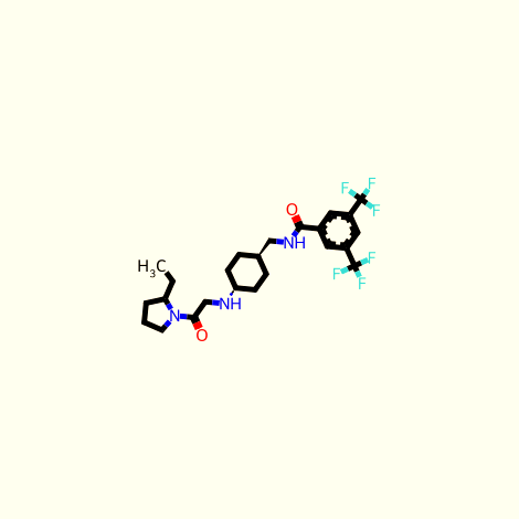 CCC1CCCN1C(=O)CN[C@H]1CC[C@H](CNC(=O)c2cc(C(F)(F)F)cc(C(F)(F)F)c2)CC1